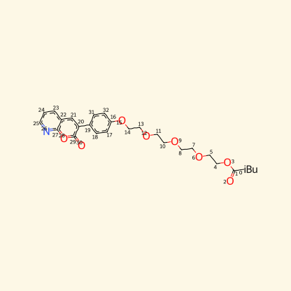 CCC(C)C(=O)OCCOCCOCCOCCOc1ccc(-c2cc3cccnc3oc2=O)cc1